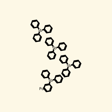 [Pd].c1cc[c]([Sb]([c]2ccccc2)[c]2ccccc2)cc1.c1cc[c]([Sb]([c]2ccccc2)[c]2ccccc2)cc1.c1cc[c]([Sb]([c]2ccccc2)[c]2ccccc2)cc1.c1cc[c]([Sb]([c]2ccccc2)[c]2ccccc2)cc1